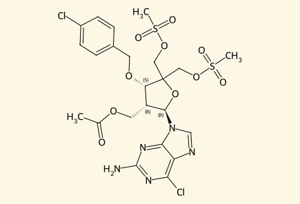 CC(=O)OC[C@H]1[C@H](n2cnc3c(Cl)nc(N)nc32)OC(COS(C)(=O)=O)(COS(C)(=O)=O)[C@H]1OCc1ccc(Cl)cc1